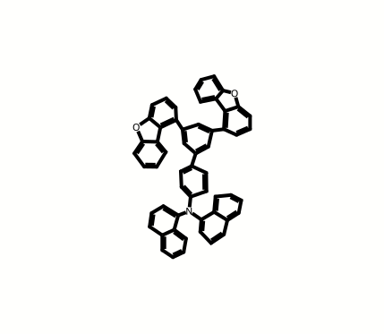 c1ccc2c(N(c3ccc(-c4cc(-c5cccc6oc7ccccc7c56)cc(-c5cccc6oc7ccccc7c56)c4)cc3)c3cccc4ccccc34)cccc2c1